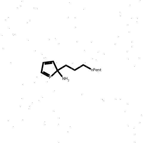 CCCCCCCCC1(N)C=CC=P1